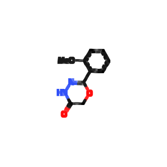 COc1ccccc1C1=NNC(=O)CO1